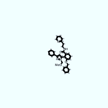 COCn1nc(-c2ccccc2)cc1-c1c(OCc2ccccc2)cccc1C(=O)NCCc1ccccn1